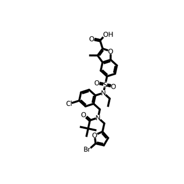 CCN(c1ccc(Cl)cc1CN(Cc1ccc(Br)o1)C(=O)C(C)(C)C)S(=O)(=O)c1ccc2oc(C(=O)O)c(C)c2c1